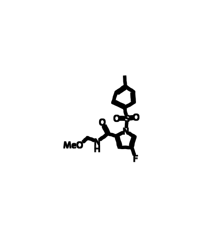 COCNC(=O)c1cc(F)cn1S(=O)(=O)c1ccc(C)cc1